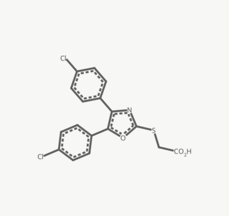 O=C(O)CSc1nc(-c2ccc(Cl)cc2)c(-c2ccc(Cl)cc2)o1